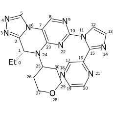 CC[C@@H]1c2nncn2-c2cnc(-n3ccnc3-c3cnccn3)nc2N1C1CCOCC1